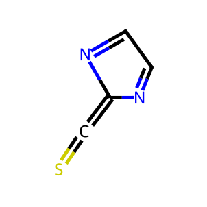 S=C=C1N=CC=N1